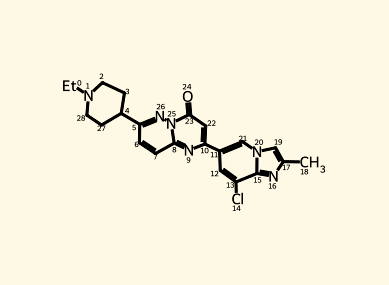 CCN1CCC(c2ccc3nc(-c4cc(Cl)c5nc(C)cn5c4)cc(=O)n3n2)CC1